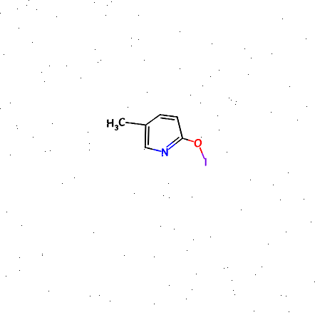 Cc1ccc(OI)nc1